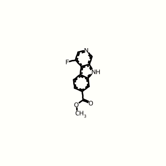 COC(=O)c1ccc2c(c1)[nH]c1cncc(F)c12